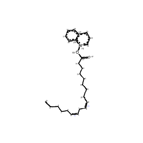 CCCCC/C=C\C/C=C\CCCCCCCC(=O)O[n+]1cccc2ccccc21